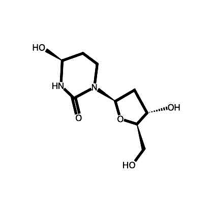 O=C1N[C@@H](O)CCN1[C@H]1C[C@H](O)[C@@H](CO)O1